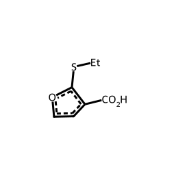 CCSc1occc1C(=O)O